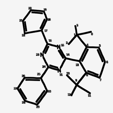 CC(C)(C)c1cccc(C(C)(C)C)c1-c1nc(-c2ccccc2)nc(-c2ccccc2)n1